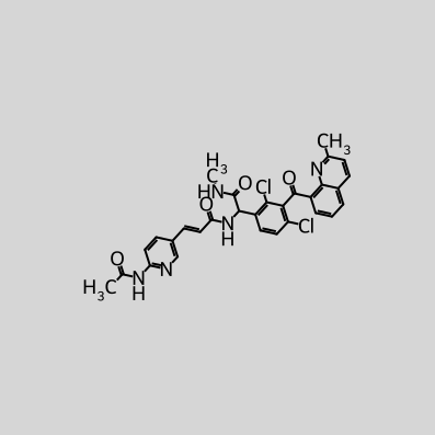 CNC(=O)C(NC(=O)/C=C/c1ccc(NC(C)=O)nc1)c1ccc(Cl)c(C(=O)c2cccc3ccc(C)nc23)c1Cl